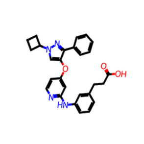 O=C(O)CCc1cccc(Nc2cc(Oc3cn(C4CCC4)nc3-c3ccccc3)ccn2)c1